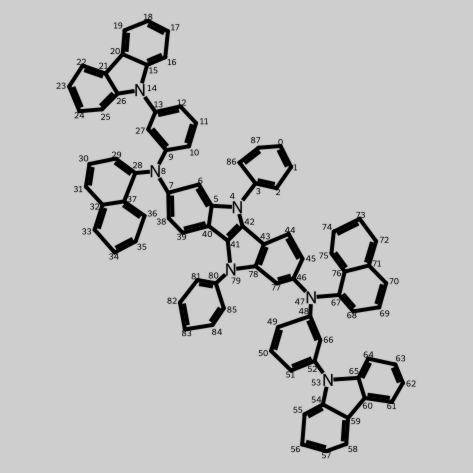 c1ccc(-n2c3cc(N(c4cccc(-n5c6ccccc6c6ccccc65)c4)c4cccc5ccccc45)ccc3c3c2c2ccc(N(c4cccc(-n5c6ccccc6c6ccccc65)c4)c4cccc5ccccc45)cc2n3-c2ccccc2)cc1